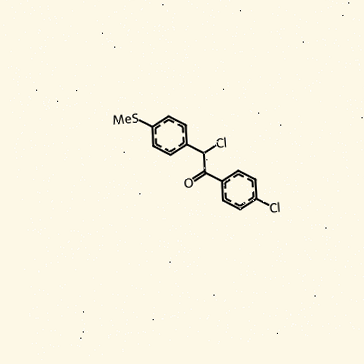 CSc1ccc(C(Cl)C(=O)c2ccc(Cl)cc2)cc1